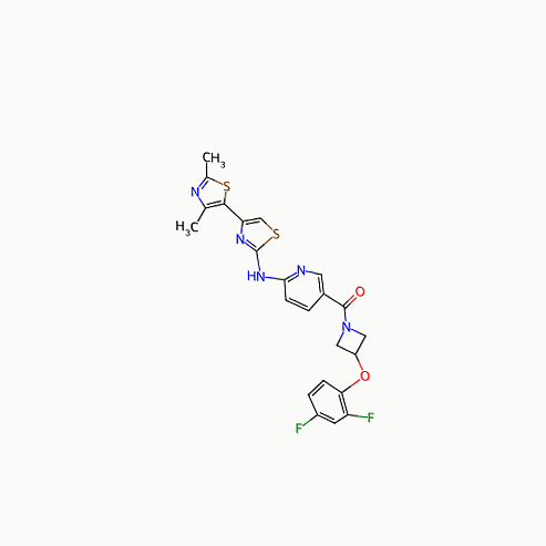 Cc1nc(C)c(-c2csc(Nc3ccc(C(=O)N4CC(Oc5ccc(F)cc5F)C4)cn3)n2)s1